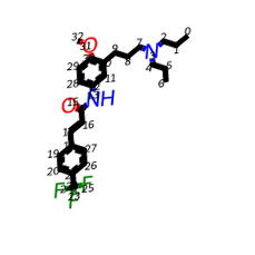 CCCN(CCC)CCCc1cc(NC(=O)C=Cc2ccc(C(F)(F)F)cc2)ccc1OC